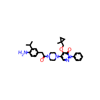 CC(C)c1cc(CC(=O)N2CCN(c3cnn(-c4ccccc4)c(=O)c3OCC3(C)CC3)CC2)ccc1N